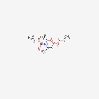 CCCOC(=O)CC(C)N(CC)C(=O)OCC